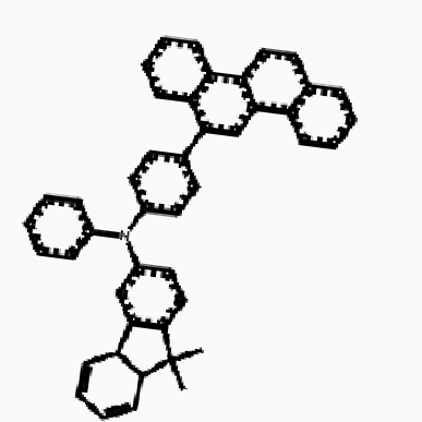 CC1(C)c2ccc(N(c3ccccc3)c3ccc(-c4cc5c6ccccc6ccc5c5ccccc45)cc3)cc2C2C=CC=CC21